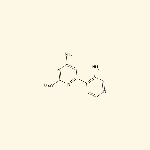 COc1nc(N)cc(-c2ccncc2N)n1